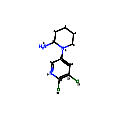 NC1CCCCN1c1cnc(Cl)c(Cl)c1